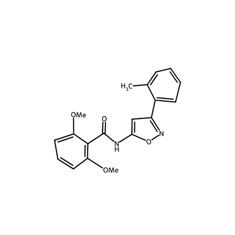 COc1cccc(OC)c1C(=O)Nc1cc(-c2ccccc2C)no1